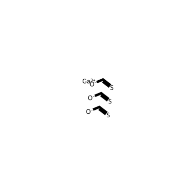 [Ga+3].[O-]C=S.[O-]C=S.[O-]C=S